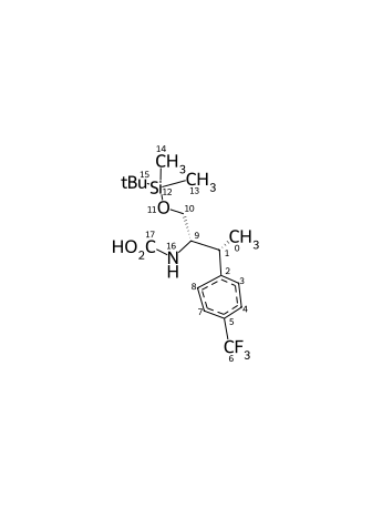 C[C@H](c1ccc(C(F)(F)F)cc1)[C@@H](CO[Si](C)(C)C(C)(C)C)NC(=O)O